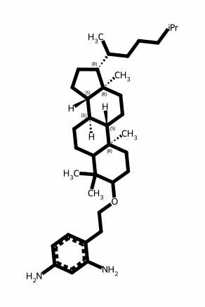 CC(C)CCCC(C)[C@H]1CC[C@H]2[C@@H]3CCC4C(C)(C)C(OCCc5ccc(N)cc5N)CC[C@]4(C)[C@H]3CC[C@]12C